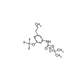 C=CCc1cc(NC(=O)OC(C)(C)C)cc(OC(F)(F)F)c1